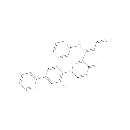 N=C/C=C(\Nc1ccccc1)c1nn(-c2ccc(-c3cccnn3)cc2F)ccc1=O